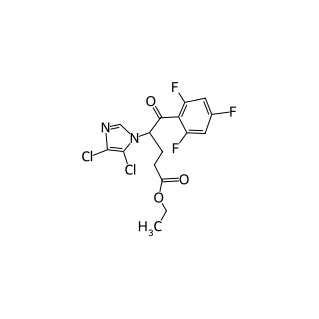 CCOC(=O)CCC(C(=O)c1c(F)cc(F)cc1F)n1cnc(Cl)c1Cl